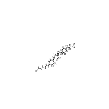 CCCCCCC[C@H]1CC[C@@H]([C@H]2CC[C@H](C(=O)OC3CCC(CCCCC)CC3)CC2)[C@H](C)C1